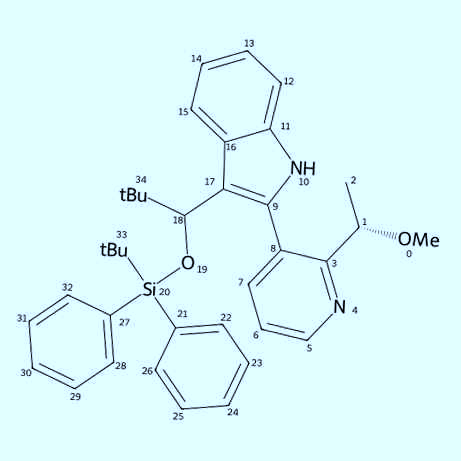 CO[C@@H](C)c1ncccc1-c1[nH]c2ccccc2c1C(O[Si](c1ccccc1)(c1ccccc1)C(C)(C)C)C(C)(C)C